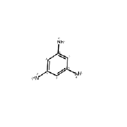 [NH]c1cc([NH])cc([NH])c1